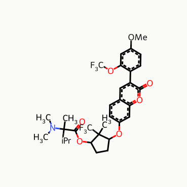 COc1ccc(-c2cc3ccc(OC4CCC(OC(=O)C(C)(C(C)C)N(C)C)C4(C)C(F)(F)F)cc3oc2=O)c(OC(F)(F)F)c1